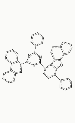 c1ccc(-c2nc(-c3cc4ccccc4c4ccccc34)nc(-c3ccc(-c4ccccc4)c4oc5c6ccccc6ccc5c34)n2)cc1